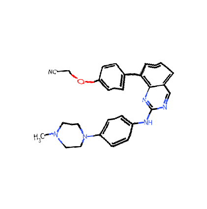 CN1CCN(c2ccc(Nc3ncc4cccc(-c5ccc(OCC#N)cc5)c4n3)cc2)CC1